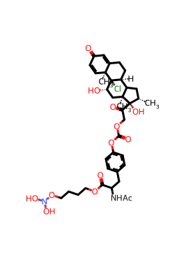 CC(=O)NC(Cc1ccc(OC(=O)OCC(=O)[C@@]2(O)[C@@H](C)CC3[C@@H]4CCC5=CC(=O)C=C[C@]5(C)C4(Cl)[C@@H](O)C[C@@]32C)cc1)C(=O)OCCCCON(O)O